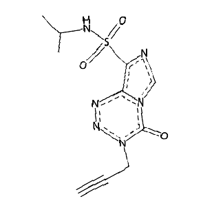 C#CCn1nnc2c(S(=O)(=O)NC(C)C)ncn2c1=O